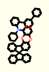 C1=CCCC(N(c2ccccc2-c2cccc(-c3ccccc3)c2)c2cccc3c2Oc2c(ccc4c2-c2ccccc2C42c4ccccc4-c4ccccc42)O3)=C1